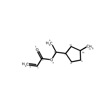 C=CC(=O)OC(C)C1CCC(C)C1